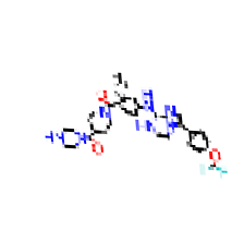 Cc1cc(NC2NC=Cn3c(-c4ccc(OC(F)F)cc4)cnc32)ccc1C(=O)N1CCC(C(=O)N2CCNCC2)CC1